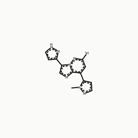 [2H]c1cc(-c2ccnn2C)c2ncc(-c3cc[nH]n3)n2n1